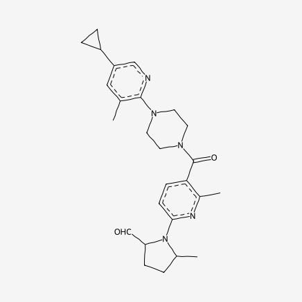 Cc1cc(C2CC2)cnc1N1CCN(C(=O)c2ccc(N3C(C)CCC3C=O)nc2C)CC1